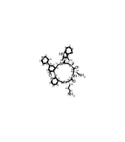 Cc1[nH]c2ccccc2c1C[C@H]1C(=O)NCc2cc(-c3ccncc3)cc(Cl)c2Sc2ncccc2CN[C@@H](CCCN)C(=O)N[C@@H](CN)C(=O)N1C